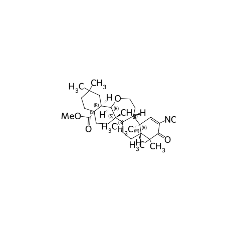 [C-]#[N+]C1=C[C@]2(C)[C@H]3CCO[C@@H]4[C@@H]5CC(C)(C)CC[C@]5(C(=O)OC)CC[C@@]4(C)[C@]3(C)CC[C@H]2C(C)(C)C1=O